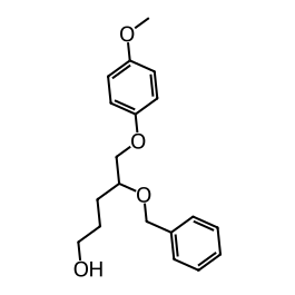 COc1ccc(OCC(CCCO)OCc2ccccc2)cc1